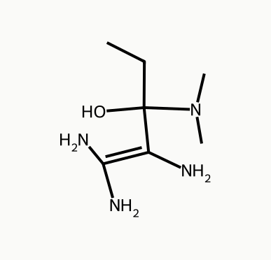 CCC(O)(C(N)=C(N)N)N(C)C